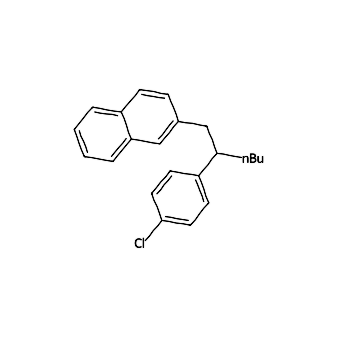 CCCCC(Cc1ccc2ccccc2c1)c1ccc(Cl)cc1